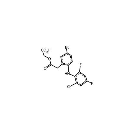 CCc1ccc(Nc2c(F)cc(F)cc2Cl)c(CC(=O)OCC(=O)O)c1